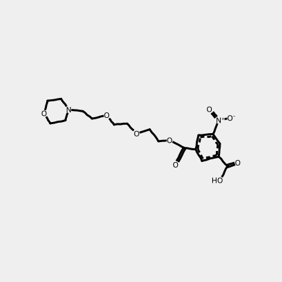 O=C(O)c1cc(C(=O)OCCOCCOCCN2CCOCC2)cc([N+](=O)[O-])c1